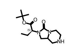 CC[C@@H](C(=O)OC(C)(C)C)N1CC2CNCCN2C1=O